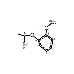 CCOc1ccccc1OC(C)Br